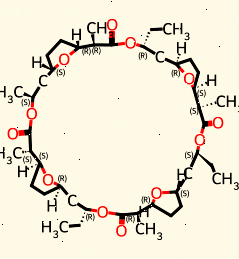 CC[C@H]1C[C@@H]2CC[C@@H](O2)[C@@H](C)C(=O)O[C@H](CC)C[C@H]2CC[C@H](O2)[C@H](C)C(=O)O[C@@H](C)C[C@@H]2CC[C@@H](O2)[C@@H](C)C(=O)O[C@H](CC)C[C@H]2CC[C@H](O2)[C@H](C)C(=O)O1